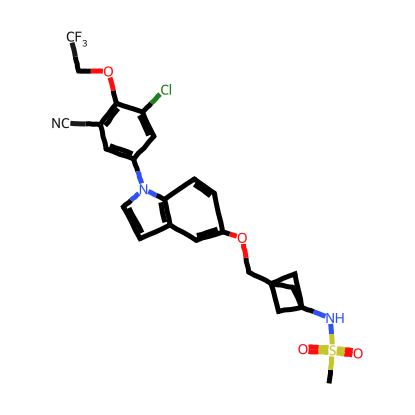 CS(=O)(=O)NC12CC(COc3ccc4c(ccn4-c4cc(Cl)c(OCC(F)(F)F)c(C#N)c4)c3)(C1)C2